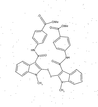 COC(=O)c1ccc(NC(=O)c2c(SSc3c(C(=O)Nc4ccc(C(=O)OC)cc4)c4ccccc4n3C)n(C)c3ccccc23)cc1